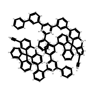 N#Cc1ccc2c(c1)C1(c3cc(-c4ccccc4-c4nc(-c5ccccc5)cc(-c5cccc(-c6cccc7c6-c6ccccc6C76c7cc(C#N)ccc7Oc7ccc(-c8cccc(-c9cc(-c%10cccc(-c%11ccccc%11)c%10)nc(-c%10ccccc%10)n9)c8)cc76)c5)n4)ccc3O2)c2ccccc2-c2ccccc21